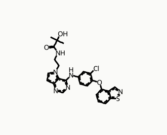 CC(C)(O)C(=O)NCCn1ccc2ncnc(Nc3ccc(Oc4cccc5sncc45)c(Cl)c3)c21